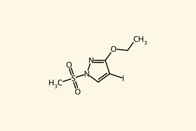 CCOc1nn(S(C)(=O)=O)cc1I